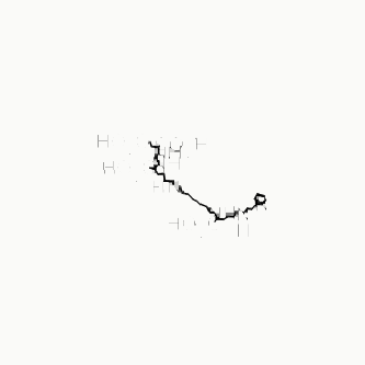 O=C(O)CCC(NCNC(CCCCNCCCCCCCCNC(CCCCNCCc1ccccn1)C(=O)O)C(=O)O)C(=O)O